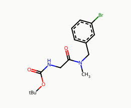 CN(Cc1cccc(Br)c1)C(=O)CNC(=O)OC(C)(C)C